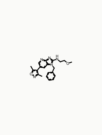 COCCNc1nc2ncc(-c3c(C)noc3C)cc2n1Cc1ccccc1